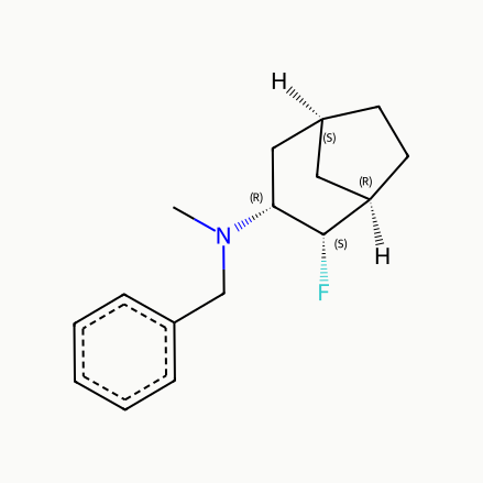 CN(Cc1ccccc1)[C@@H]1C[C@H]2CC[C@H](C2)[C@@H]1F